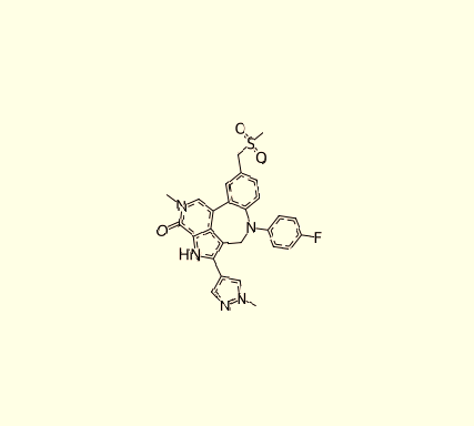 Cn1cc(-c2[nH]c3c(=O)n(C)cc4c3c2CN(c2ccc(F)cc2)c2ccc(CS(C)(=O)=O)cc2-4)cn1